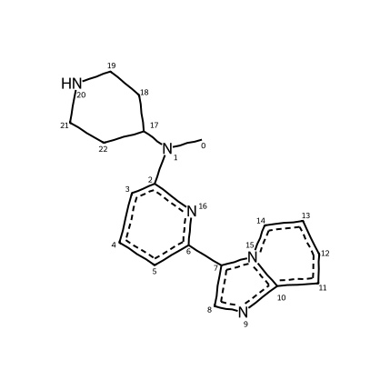 CN(c1cccc(-c2cnc3ccccn23)n1)C1CCNCC1